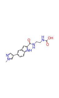 Cn1cc(-c2ccc3[nH]c(C(=O)NCCNC(=O)O)cc3c2)cn1